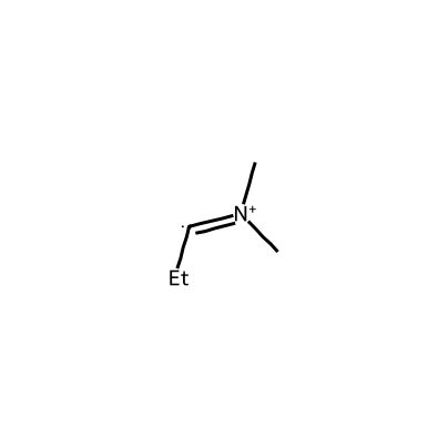 [CH2]C[C]=[N+](C)C